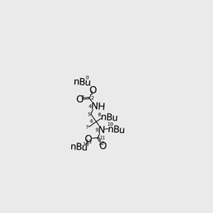 CCCCOC(=O)NCC(C)(CCCC)N(CCCC)C(=O)OCCCC